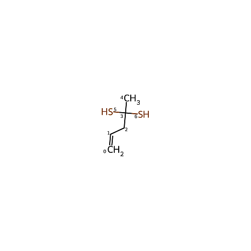 C=CCC(C)(S)S